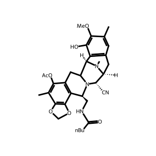 CCCCC(=O)NC[C@H]1c2c(c(OC(C)=O)c(C)c3c2OCO3)CC2[C@H]3c4c(cc(C)c(OC)c4O)C[C@@H]([C@H](C#N)N21)N3C